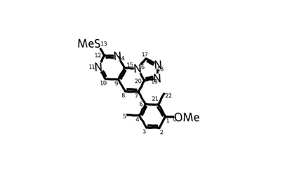 COc1ccc(C)c(-c2cc3cnc(SC)nc3n3cnnc23)c1C